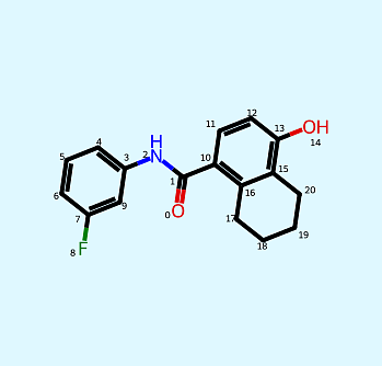 O=C(Nc1cccc(F)c1)c1ccc(O)c2c1CCCC2